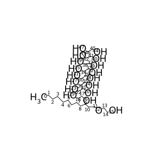 CCCCCCCCCCCCOCCO.OCCO.OCCO.OCCO.OCCO.OCCO.OCCO.OCCO.OCCO